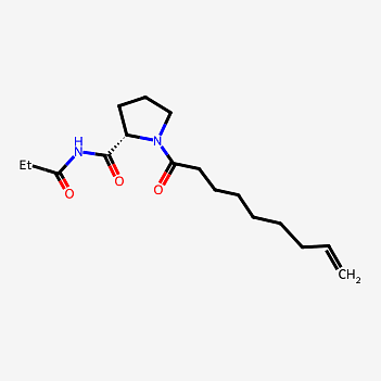 C=CCCCCCCC(=O)N1CCC[C@H]1C(=O)NC(=O)CC